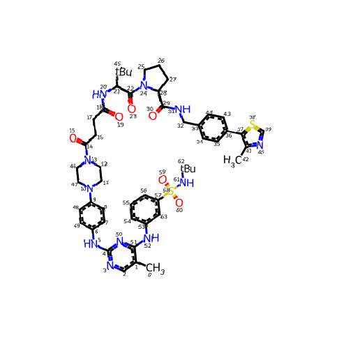 Cc1cnc(Nc2ccc(N3CCN(C(=O)CCC(=O)NC(C(=O)N4CCCC4C(=O)NCc4ccc(-c5scnc5C)cc4)C(C)(C)C)CC3)cc2)nc1Nc1cccc(S(=O)(=O)NC(C)(C)C)c1